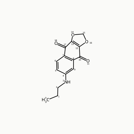 CCCNc1ccc2c(c1)C(=O)C1=C(OCO1)C2=O